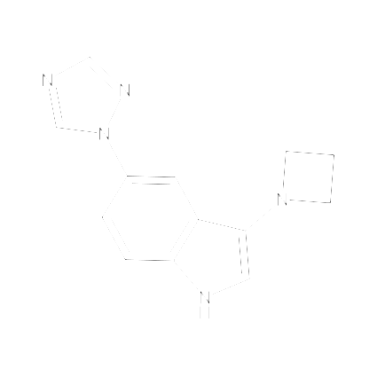 c1ncn(-c2ccc3[nH]cc(N4CCC4)c3c2)n1